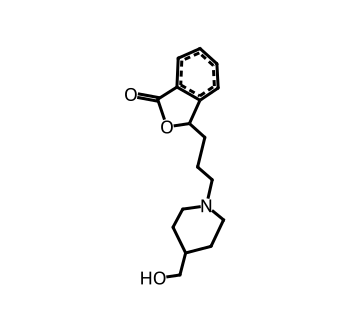 O=C1OC(CCCN2CCC(CO)CC2)c2ccccc21